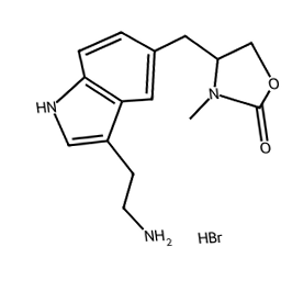 Br.CN1C(=O)OCC1Cc1ccc2[nH]cc(CCN)c2c1